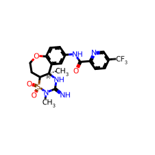 CN1C(=N)N[C@]2(C)c3cc(NC(=O)c4ccc(C(F)(F)F)cn4)ccc3OCCC2S1(=O)=O